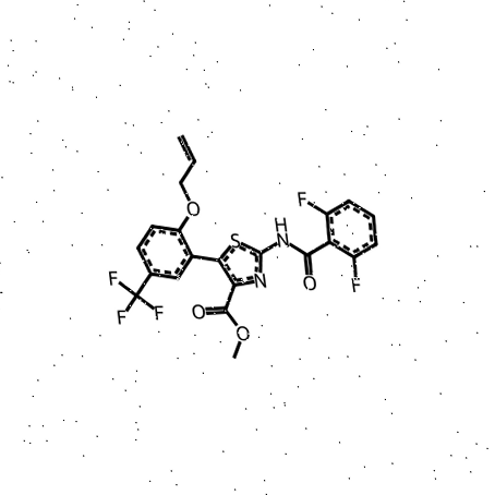 C=CCOc1ccc(C(F)(F)F)cc1-c1sc(NC(=O)c2c(F)cccc2F)nc1C(=O)OC